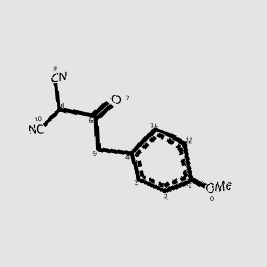 COc1ccc(CC(=O)C(C#N)C#N)cc1